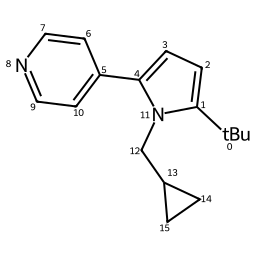 CC(C)(C)c1ccc(-c2ccncc2)n1CC1CC1